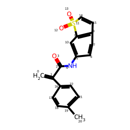 C=C(C(=O)Nc1ccc2c(c1)S(=O)(=O)C=C2)c1ccc(C)cc1